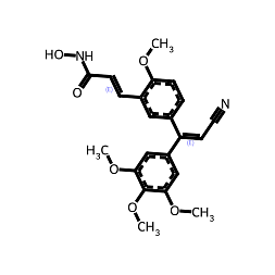 COc1ccc(/C(=C\C#N)c2cc(OC)c(OC)c(OC)c2)cc1/C=C/C(=O)NO